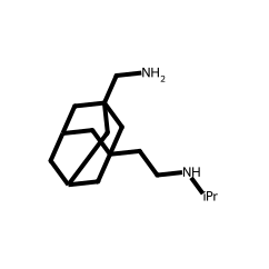 CC(C)NCCC12CC3CC(CC(CN)(C3)C1)C2